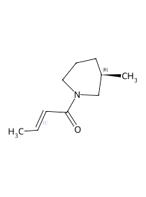 C/C=C/C(=O)N1CCC[C@@H](C)C1